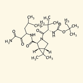 CC(C)CC(NC(=O)[C@@H]1[C@@H]2[C@H](CN1C(=O)[C@@H](NC(=O)OC(C)(C)C)C(C)(C)C)C2(C)C)C(=O)C(N)=O